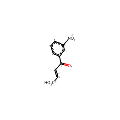 O=C(O)/C=C/C(=O)c1cccc([N+](=O)[O-])c1